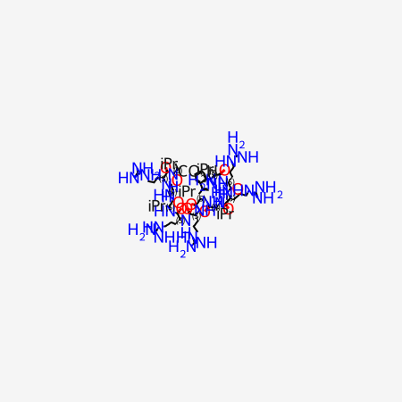 CC(C)[C@H](N)C(=O)N[C@@H](CCCNC(=N)N)C(=O)N[C@@H](CCCNC(=N)N)C(=O)N[C@H](C(=O)N[C@@H](Cc1c[nH]c2ccccc12)C(=O)N[C@@H](CCCNC(=N)N)C(=O)N[C@@H](CCCNC(=N)N)C(=O)N[C@H](C(=O)N[C@H](C(=O)N[C@@H](CCCNC(=N)N)C(=O)N[C@H](C(=O)O)C(C)C)C(C)C)C(C)C)C(C)C